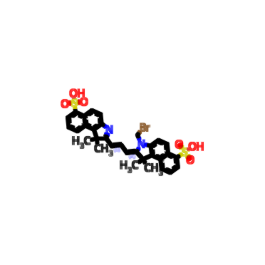 CC1(C)C(/C=C/C=C2\N(CBr)c3ccc4c(S(=O)(=O)O)cccc4c3C2(C)C)=Nc2ccc3c(S(=O)(=O)O)cccc3c21